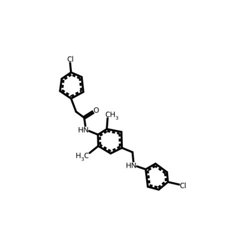 Cc1cc(CNc2ccc(Cl)cc2)cc(C)c1NC(=O)Cc1ccc(Cl)cc1